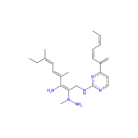 C=C(/C=C\C=C/C)c1ccnc(NC\C(=C(N)/C(C)=C/C=C(/C)CC)N(C)N)n1